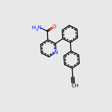 C#Cc1ccc(-c2ccccc2-c2ncccc2C(N)=O)cc1